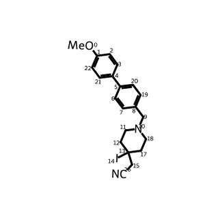 COc1ccc(-c2ccc(CN3CCC(I)(CC#N)CC3)cc2)cc1